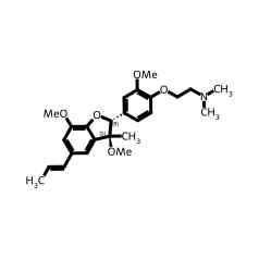 CC=Cc1cc(OC)c2c(c1)[C@](C)(OC)[C@@H](c1ccc(OCCN(C)C)c(OC)c1)O2